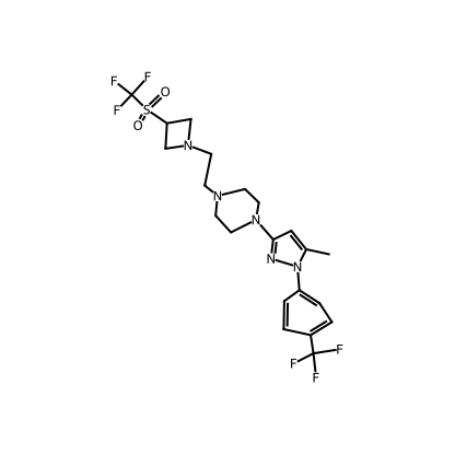 Cc1cc(N2CCN(CCN3CC(S(=O)(=O)C(F)(F)F)C3)CC2)nn1-c1ccc(C(F)(F)F)cc1